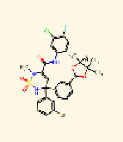 CN1C(C(=O)Nc2ccc(F)c(Cl)c2)=CC(c2cccc(Br)c2)(c2cccc(B3OC(C)(C)C(C)(C)O3)c2)NS1(=O)=O